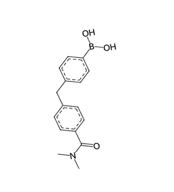 CN(C)C(=O)c1ccc(Cc2ccc(B(O)O)cc2)cc1